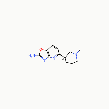 CN1CCC[C@@H](c2ccc3oc(N)nc3n2)C1